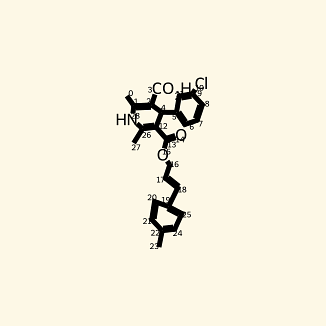 CC1=C(C(=O)O)C(c2cccc(Cl)c2)C(C(=O)OC/C=C/c2ccc(C)cc2)=C(C)N1